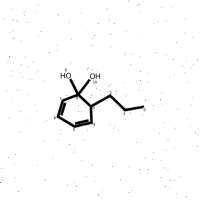 CCCC1C=CC=CC1(O)O